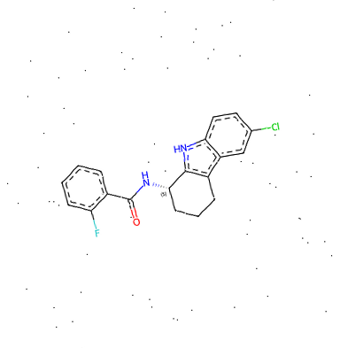 O=C(N[C@H]1CCCc2c1[nH]c1ccc(Cl)cc21)c1ccccc1F